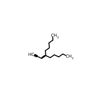 C#CC=C(CCCCC)CCCCC